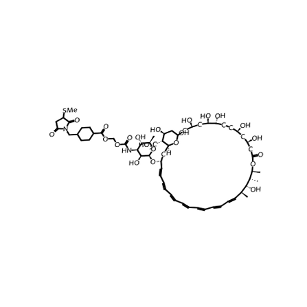 CSC1CC(=O)N(CC2CCC(C(=O)OCOC(=O)N[C@@H]3[C@H](O)[C@H](O[C@H]4/C=C/C=C/C=C/C=C/C=C/C=C/C=C/[C@H](C)[C@@H](O)[C@@H](C)[C@H](C)OC(=O)C[C@H](O)C[C@H](O)CC[C@@H](O)[C@H](O)C[C@H](O)C[C@]5(O)C[C@H](O)[C@@H](C(=O)O)[C@H](C4)O5)O[C@H](C)[C@H]3O)CC2)C1=O